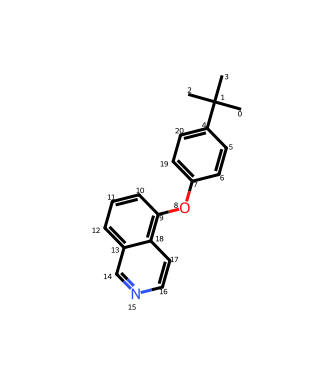 CC(C)(C)c1ccc(Oc2cccc3cnccc23)cc1